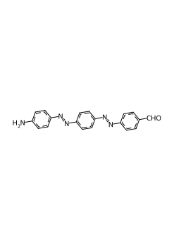 Nc1ccc(N=Nc2ccc(N=Nc3ccc(C=O)cc3)cc2)cc1